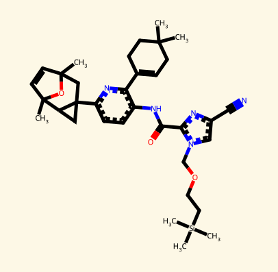 CC1(C)CC=C(c2nc(C34CC3C3(C)C=CC(C)(C4)O3)ccc2NC(=O)c2nc(C#N)cn2COCC[Si](C)(C)C)CC1